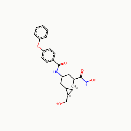 CC(CC(CC1C[C@H]1CO)NC(=O)c1ccc(Oc2ccccc2)cc1)C(=O)NO